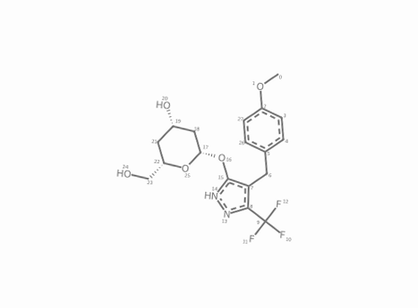 COc1ccc(Cc2c(C(F)(F)F)n[nH]c2O[C@H]2C[C@@H](O)C[C@@H](CO)O2)cc1